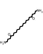 NCCCC(=O)CCCCCCCCCCCCC(=O)CCCN